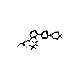 CCC(=O)OCc1cccc(-c2ccc(N3CCC(F)(F)CC3)cc2)c1O[Si](C)(C)C(C)(C)C